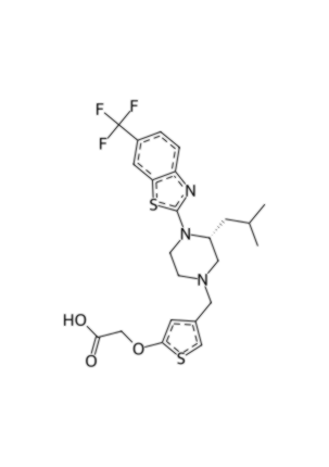 CC(C)C[C@@H]1CN(Cc2csc(OCC(=O)O)c2)CCN1c1nc2ccc(C(F)(F)F)cc2s1